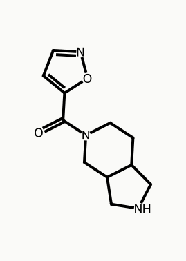 O=C(c1ccno1)N1CCC2CNCC2C1